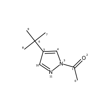 CC(=O)n1cc(C(C)(C)C)cn1